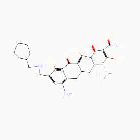 CN(C)c1cc(CNCC2CCCCC2)c(O)c2c1C[C@@H]1C[C@@H]3[C@@H](N(C)C)C(O)=C(C(N)=O)C(=O)[C@]3(O)C(O)=C1C2=O